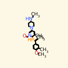 C/C=C(\PC1C(C)=CC(N2CCC(NCC)CC2)=CN1C=O)c1ccc(OC)c(C)c1